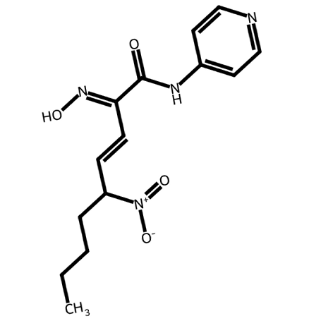 CCCCC(C=C/C(=N\O)C(=O)Nc1ccncc1)[N+](=O)[O-]